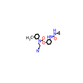 Cc1cccc(N(CCC#N)C(=O)Oc2cccc(NC(=O)NC3CC3)c2)c1